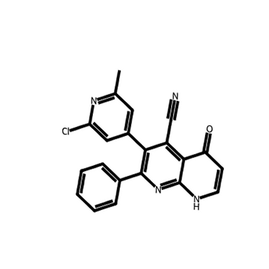 Cc1cc(-c2c(-c3ccccc3)nc3[nH]ccc(=O)c3c2C#N)cc(Cl)n1